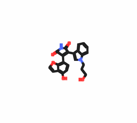 O=C1NC(=O)C(c2ccc(O)c3ccoc23)=C1c1cn(CCCO)c2ccccc12